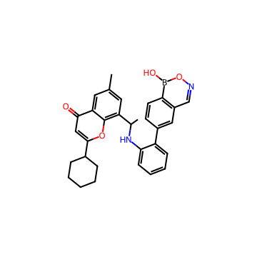 Cc1cc(C(C)Nc2ccccc2-c2ccc3c(c2)C=NOB3O)c2oc(C3CCCCC3)cc(=O)c2c1